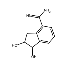 N=C(N)c1cccc2c1CC(O)C2O